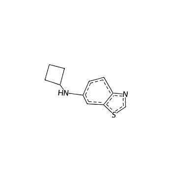 c1nc2ccc(NC3CCC3)cc2s1